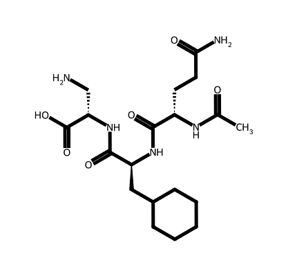 CC(=O)N[C@@H](CCC(N)=O)C(=O)N[C@@H](CC1CCCCC1)C(=O)N[C@@H](CN)C(=O)O